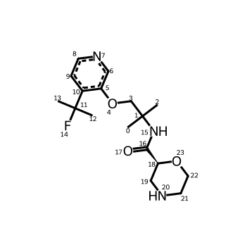 CC(C)(COc1cnccc1C(C)(C)F)NC(=O)[C@@H]1CNCCO1